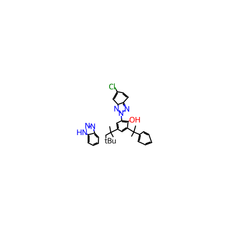 CC(C)(C)CC(C)(C)c1cc(-n2nc3ccc(Cl)cc3n2)c(O)c(C(C)(C)c2ccccc2)c1.c1ccc2[nH]nnc2c1